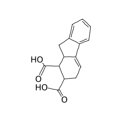 O=C(O)C1CC=C2c3ccccc3CC2C1C(=O)O